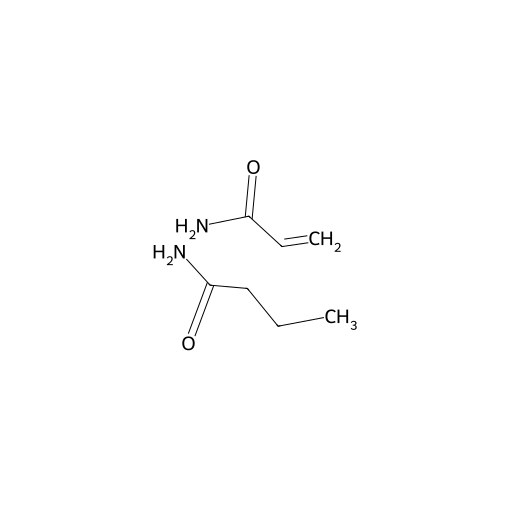 C=CC(N)=O.CCCC(N)=O